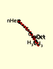 CCCCCCCCC1(CCCCCCCC)c2cc(-c3ccc4c(c3)C(C)(C)c3cc(-c5ccccc5)ccc3-4)ccc2-c2ccc(-c3ccc4c(c3)oc3cc(-c5ccc(C67CCC(c8ccc(-c9ccc(-c%10ccc(C%11%12CCC(CCCCCC)(CC%11)CC%12)cc%10)cc9)cc8)(CC6)CC7)cc5)ccc34)cc21